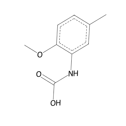 COc1ccc(C)cc1NC(=O)O